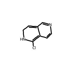 ClC1=c2ccncc2=CCN1